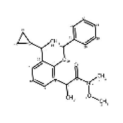 CON(C)C(=O)C(C)c1cccc(C(C)C2CC2)c1OCc1ccccc1